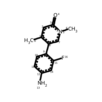 Cc1cc(=O)n(C)cc1-c1ccc(N)cc1F